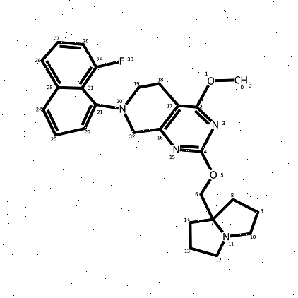 COc1nc(OCC23CCCN2CCC3)nc2c1CCN(c1cccc3cccc(F)c13)C2